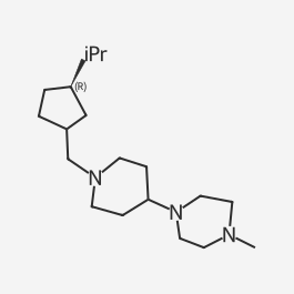 CC(C)[C@@H]1CCC(CN2CCC(N3CCN(C)CC3)CC2)C1